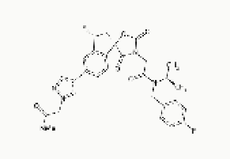 CNC(=O)Cn1cc(-c2ccc3c(c2)[C@H](F)C[C@@]32OC(=O)N(CC(=O)N(Cc3ccc(F)cc3)[C@@H](C)C(F)(F)F)C2=O)cn1